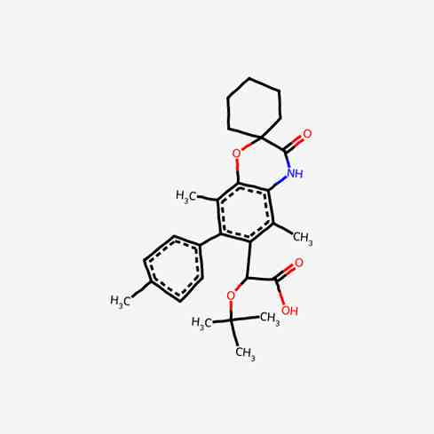 Cc1ccc(-c2c(C)c3c(c(C)c2C(OC(C)(C)C)C(=O)O)NC(=O)C2(CCCCC2)O3)cc1